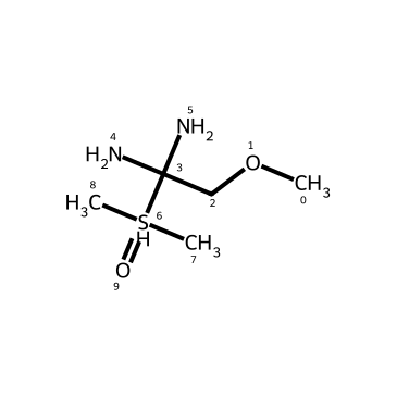 COCC(N)(N)[SH](C)(C)=O